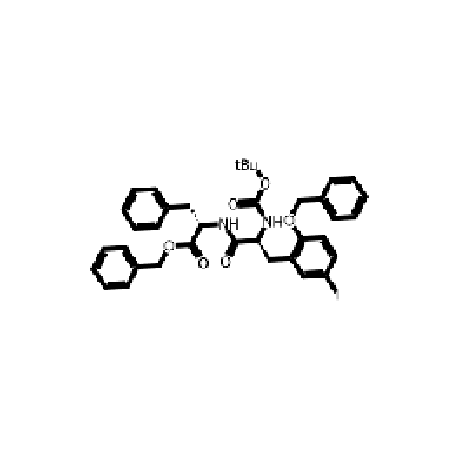 CC(C)(C)OC(=O)N[C@@H](Cc1cc(I)ccc1OCc1ccccc1)C(=O)N[C@@H](Cc1ccccc1)C(=O)OCc1ccccc1